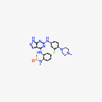 CN1CCN(c2ccc(Nc3nc(Nc4ccccc4N(C)[S+](C)[O-])c4cn[nH]c4n3)cc2F)CC1